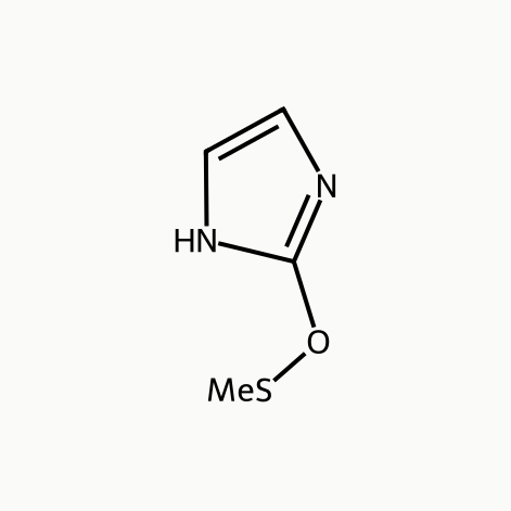 CSOc1ncc[nH]1